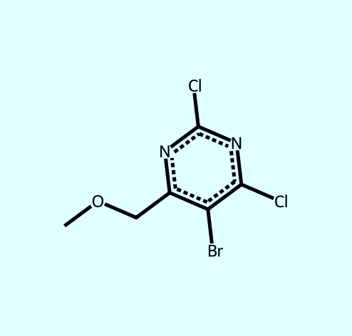 COCc1nc(Cl)nc(Cl)c1Br